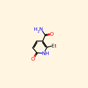 CCc1[nH]c(=O)ccc1C(N)=O